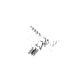 O=C(O)CCCN(CC(=O)O)CC(=O)O.O=C(O)CCCN(CC(=O)O)CC(=O)O.[CH2]CN(CCN(C[CH2])CC(=O)O)CC(=O)O.[CH2]C[N].[CH2]C[N].[CH2]C[N].[CH2]C[N].[CH2]C[N].[CH2]C[N].[CH2]C[N].[CH2]C[N].[CH2]C[N].[CH2]C[N].[CH2]C[N].[CH2]C[N]